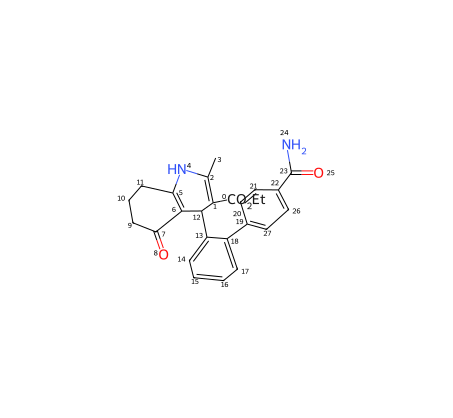 CCOC(=O)C1=C(C)NC2=C(C(=O)CCC2)C1c1ccccc1-c1ccc(C(N)=O)cc1